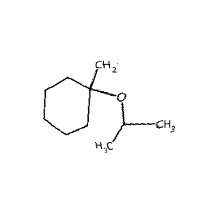 [CH2]C1(OC(C)C)CCCCC1